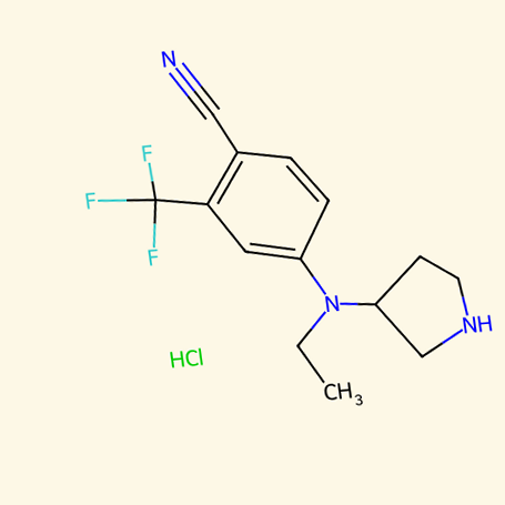 CCN(c1ccc(C#N)c(C(F)(F)F)c1)C1CCNC1.Cl